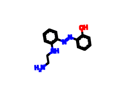 NCCNc1ccccc1/N=N/c1ccccc1O